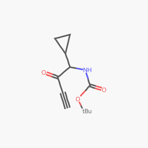 C#CC(=O)C(NC(=O)OC(C)(C)C)C1CC1